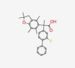 Cc1c(C)c(C(C)(C(=O)O)c2ccc(-c3ccccc3)c(F)c2)c(C)c2c1OC(C)(C)C2